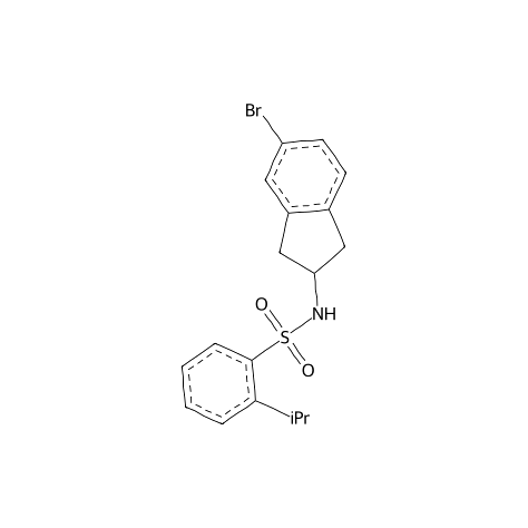 CC(C)c1ccccc1S(=O)(=O)NC1Cc2ccc(Br)cc2C1